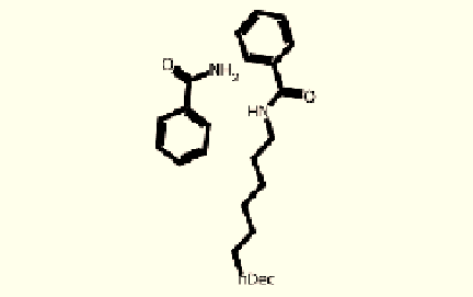 CCCCCCCCCCCCCCCCNC(=O)c1ccccc1.NC(=O)c1ccccc1